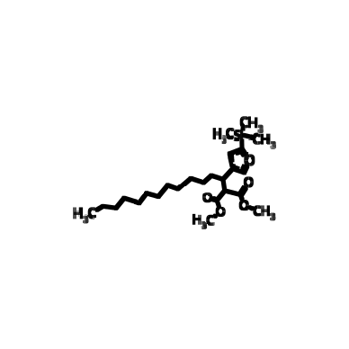 CCCCCCCCCCCCC(c1coc([Si](C)(C)C)c1)C(C(=O)OC)C(=O)OC